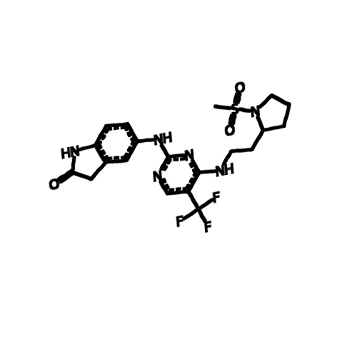 CS(=O)(=O)N1CCCC1CCNc1nc(Nc2ccc3c(c2)CC(=O)N3)ncc1C(F)(F)F